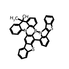 CC1(C)c2ccccc2N2c3cc4c(sc5ccccc54)c4c3B(c3cccc1c32)n1c2c-4cccc2c2sc3ccccc3c21